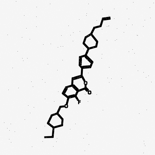 C=CCCC1CCC(c2ccc(-c3cc4ccc(OCC5CCC(CC)CC5)c(F)c4c(=O)o3)cc2)CC1